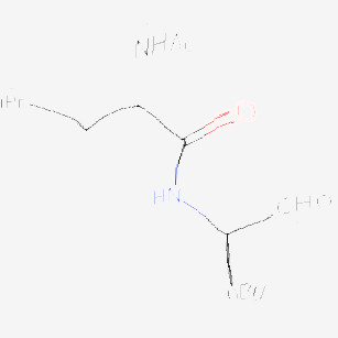 CCCCC(C=O)NC(=O)[C@H](CC(C)C)NC(C)=O